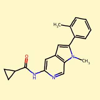 Cc1ccccc1-c1cc2cc(NC(=O)C3CC3)ncc2n1C